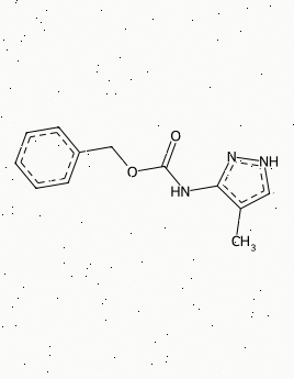 Cc1[c][nH]nc1NC(=O)OCc1ccccc1